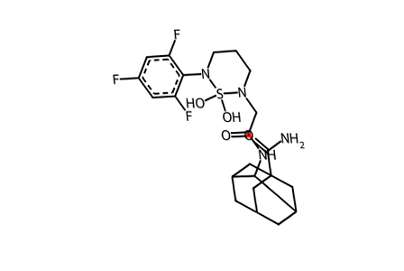 NC(=O)C12CC3CC(C1)C(NC(=O)CN1CCCN(c4c(F)cc(F)cc4F)S1(O)O)C(C3)C2